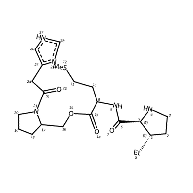 CC[C@H]1CCN[C@@H]1C(=O)NC(CCSC)C(=O)OCC1CCCN1C(=O)Cc1c[nH]cn1